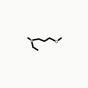 [CH2]N(CC)CCCOC